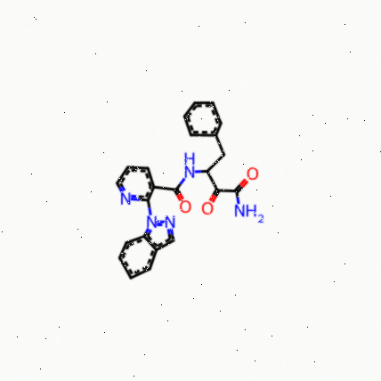 NC(=O)C(=O)C(Cc1ccccc1)NC(=O)c1cccnc1-n1ncc2ccccc21